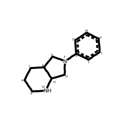 c1ccc(N2CC3CCCNC3C2)cc1